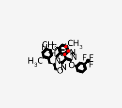 Cc1ccc(C[C@@H]2CON=C(c3c(Oc4cccc(C(F)(F)F)c4)nnc(Cl)c3C)N2Cc2ccc(C)cc2C)c(C)c1